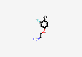 CC(C)c1ccc(OCCN)cc1F